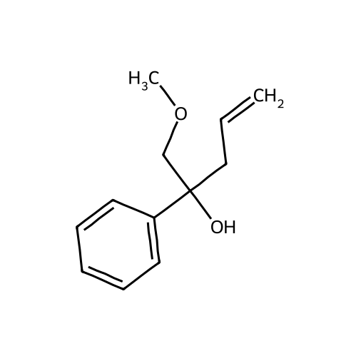 C=CCC(O)(COC)c1ccccc1